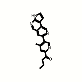 CCCC(=O)c1cc(C)c(-c2cc3cnc4[nH]ccc4c3cn2)cn1